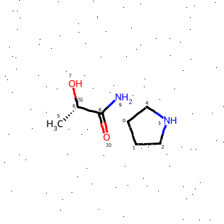 C1CCNC1.C[C@H](O)C(N)=O